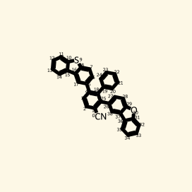 N#Cc1ccc(-c2ccc3sc4ccccc4c3c2)c(-c2ccccc2)c1-c1ccc2oc3ccccc3c2c1